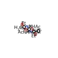 CCOC1=CC2=NC3=C(NC(C)=O)C4Oc5cc(-c6ccccc6)c(OCC)cc5N=C4C(NC(C)=O)=C3OC2C=C1C